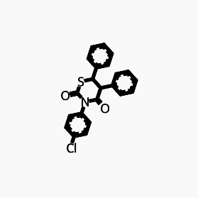 O=C1SC(c2ccccc2)C(c2ccccc2)C(=O)N1c1ccc(Cl)cc1